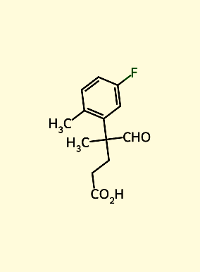 Cc1ccc(F)cc1C(C)(C=O)CCC(=O)O